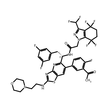 CC(=O)c1cc(-c2cc3sc(NCCN4CCOCC4)nc3nc2[C@H](Cc2cc(F)cc(F)c2)NC(=O)Cn2nc(C(F)F)c3c2C(F)(F)CCC3(F)F)ccc1F